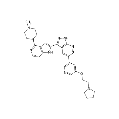 CN1CCN(c2nccc3[nH]c(-c4n[nH]c5ncc(-c6cncc(OCCN7CCCC7)c6)cc45)cc23)CC1